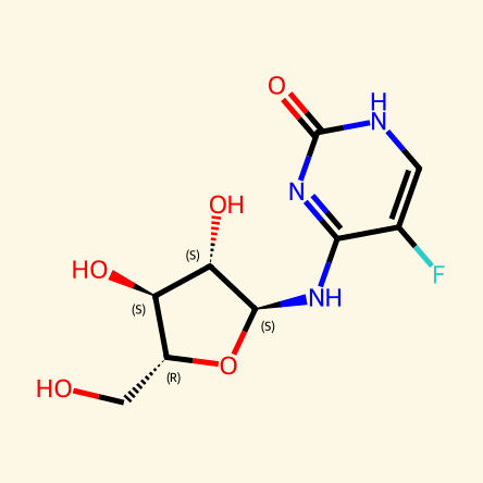 O=c1nc(N[C@H]2O[C@H](CO)[C@@H](O)[C@@H]2O)c(F)c[nH]1